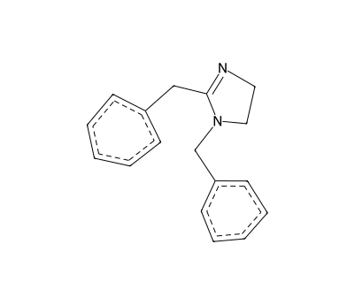 c1ccc(CC2=NCCN2Cc2ccccc2)cc1